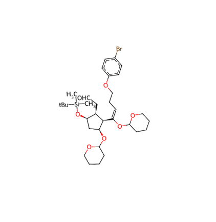 CC(C)(C)[Si](C)(C)O[C@@H]1C[C@H](OC2CCCCO2)[C@H](/C(=C\CCOc2ccc(Br)cc2)OC2CCCCO2)[C@@H]1CC=O